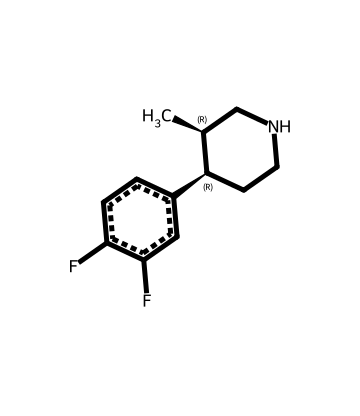 C[C@H]1CNCC[C@H]1c1ccc(F)c(F)c1